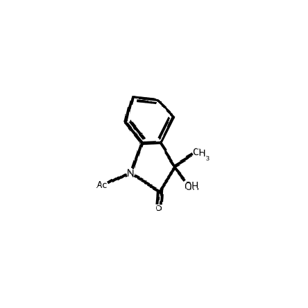 CC(=O)N1C(=O)C(C)(O)c2ccccc21